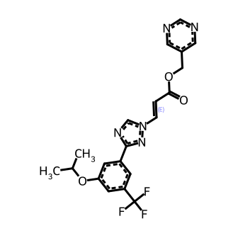 CC(C)Oc1cc(-c2ncn(/C=C/C(=O)OCc3cncnc3)n2)cc(C(F)(F)F)c1